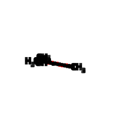 CCCCCCCCCCCCCCCCCCCCCCCCCCCCN(C(O)CC)C(O)CC